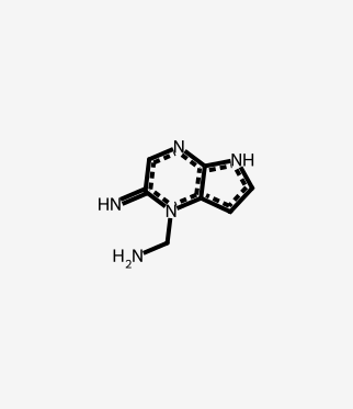 N=c1cnc2[nH]ccc2n1CN